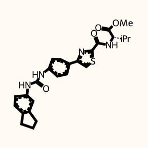 COC(=O)[C@@H](NC(=O)c1nc(-c2ccc(NC(=O)Nc3ccc4c(c3)CCC4)cc2)cs1)C(C)C